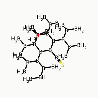 BBB(B)B(B(B)B)B(B(B=S)B(B(B(B)B)B(B)B)B(B(B)B)B(B)B)B(B(B)B)B(B)B